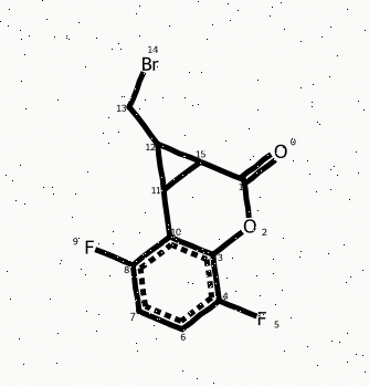 O=C1Oc2c(F)ccc(F)c2C2C(CBr)C12